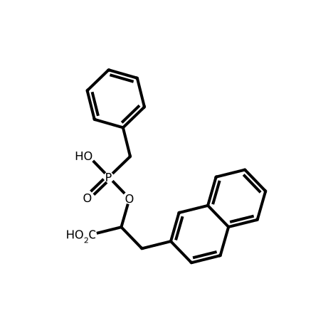 O=C(O)C(Cc1ccc2ccccc2c1)OP(=O)(O)Cc1ccccc1